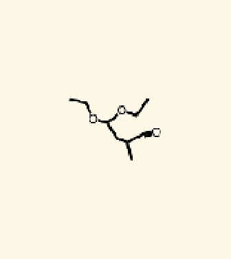 CCOC(CC(C)C=O)OCC